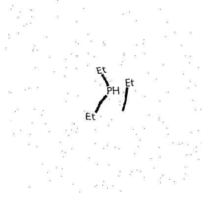 CCC.CCPCC